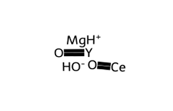 [MgH+].[OH-].[O]=[Ce].[O]=[Y]